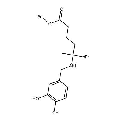 CCCC(C)(CCCC(=O)OC(C)(C)C)NCc1ccc(O)c(O)c1